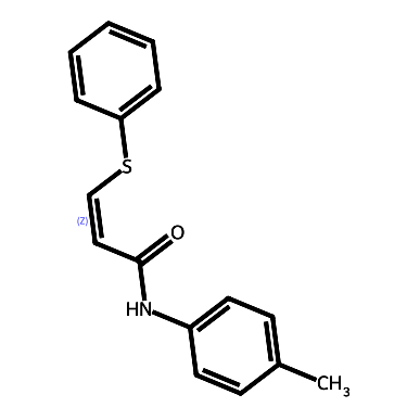 Cc1ccc(NC(=O)/C=C\Sc2ccccc2)cc1